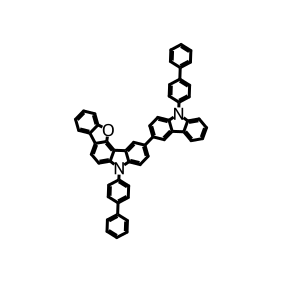 c1ccc(-c2ccc(-n3c4ccccc4c4cc(-c5ccc6c(c5)c5c7oc8ccccc8c7ccc5n6-c5ccc(-c6ccccc6)cc5)ccc43)cc2)cc1